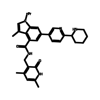 CCCn1cc(C)c2c(C(=O)NCc3c(C)cc(C)[nH]c3=O)cc(-c3ccc(C4CCCCN4)nc3)cc21